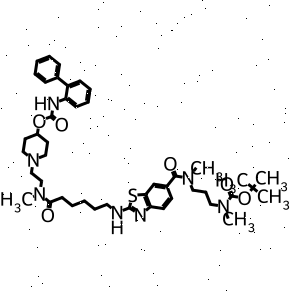 CN(CCN1CCC(OC(=O)Nc2ccccc2-c2ccccc2)CC1)C(=O)CCCCCNc1nc2ccc(C(=O)N(C)CCCN(C)C(=O)OC(C)(C)C)cc2s1